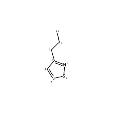 [CH2]CCc1cnsn1